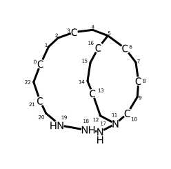 C1CCCCC2CCCCCN(CCCCC2)NNNCCC1